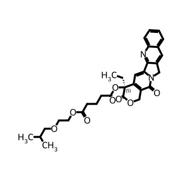 CC[C@@]1(OC(=O)CCCC(=O)OCCOCC(C)C)C(=O)OCc2c1cc1n(c2=O)Cc2cc3ccccc3nc2-1